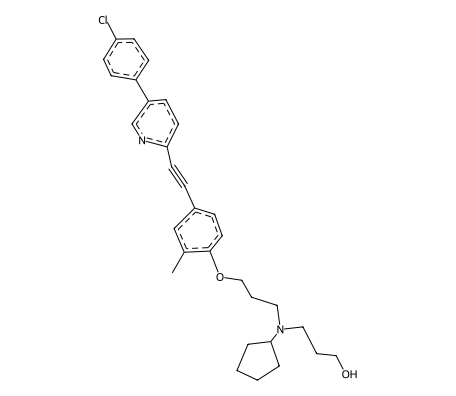 Cc1cc(C#Cc2ccc(-c3ccc(Cl)cc3)cn2)ccc1OCCCN(CCCO)C1CCCC1